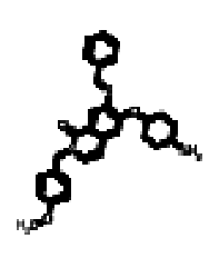 COc1ccc(Cn2ccc3cc(OC4CCC(N)CC4)c(SCc4ccccc4)cc3c2=O)cc1